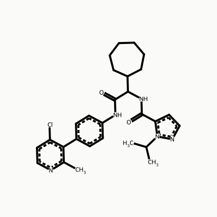 Cc1nccc(Cl)c1-c1ccc(NC(=O)C(NC(=O)c2ccnn2C(C)C)C2CCCCCC2)cc1